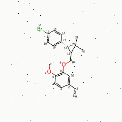 C=Cc1ccc(OC)c(OC[C@H]2[C@H](c3ccc(Br)cc3)C2(C)C)c1